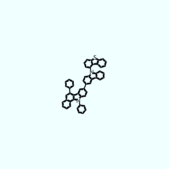 c1ccc(-c2cc3ccccc3c3c2c2cc(-c4ccc5c(c4)c4ccccc4n5-c4cccc5sc6ccccc6c45)ccc2n3-c2ccccc2)cc1